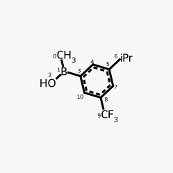 CB(O)c1cc(C(C)C)cc(C(F)(F)F)c1